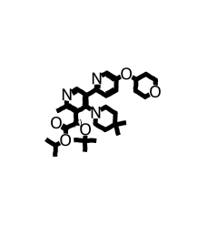 Cc1ncc(-c2ccc(OC3CCOCC3)cn2)c(N2CCC(C)(C)CC2)c1[C@H](OC(C)(C)C)C(=O)OC(C)C